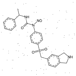 CC(NC(=O)N(N=O)c1ccc(S(=O)(=O)Cc2ccc3c(c2)CNC3)cc1)c1ccccc1